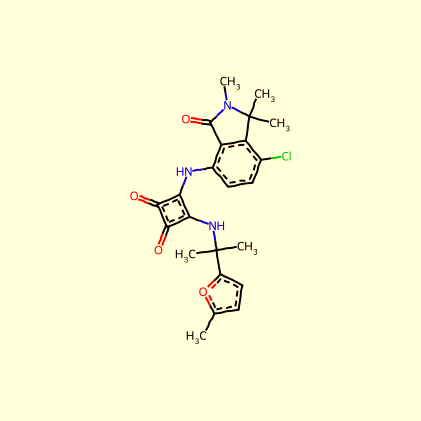 Cc1ccc(C(C)(C)Nc2c(Nc3ccc(Cl)c4c3C(=O)N(C)C4(C)C)c(=O)c2=O)o1